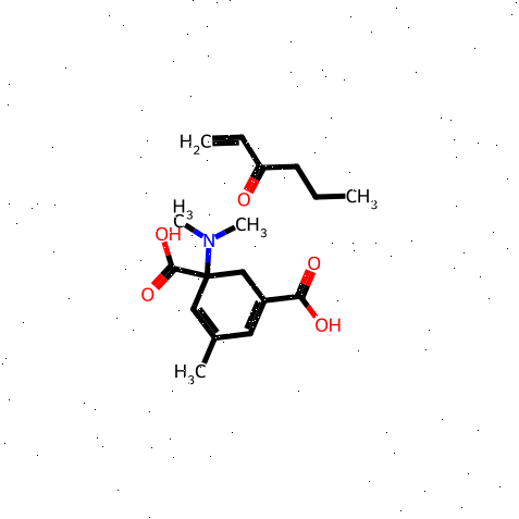 C=CC(=O)CCC.CC1=CC(C(=O)O)(N(C)C)CC(C(=O)O)=C1